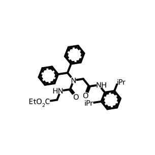 CCOC(=O)CNC(=O)N(CC(=O)Nc1c(C(C)C)cccc1C(C)C)C(c1ccccc1)c1ccccc1